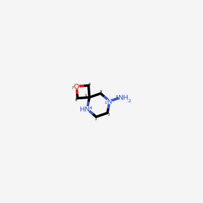 NN1CCNC2(COC2)C1